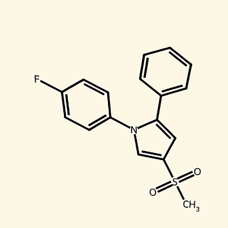 CS(=O)(=O)c1cc(-c2ccccc2)n(-c2ccc(F)cc2)c1